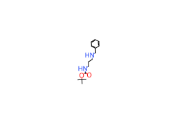 CC(C)(C)OC(=O)NCCCNCc1ccccc1